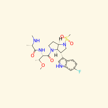 CN[C@@H](C)C(=O)N[C@H](C(=O)N1CC[C@@H]2[C@H]1[C@@H](c1c[nH]c3cc(F)ccc13)CN2S(C)(=O)=O)[C@@H](C)OC